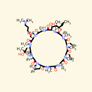 C/C=C/C[C@@H](C)[C@@H](O)[C@H]1C(=O)N[C@@H](CC)C(=O)N(C)[C@H](COCCCN(C)C)C(=O)N(C)[C@@H](CC(C)(C)O)C(=O)N[C@H](C(C)C)C(=O)N(C)[C@H](CCC(C)C)C(=O)N[C@H](C)C(=O)N[C@@H](C)C(=O)N(C)[C@@H](CC(C)C)C(=O)N(C)[C@@H](CC(C)C)C(=O)N(C)[C@@H](C(C)C)C(=O)N1C